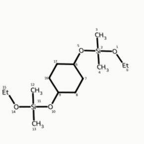 CCO[Si](C)(C)OC1CCC(O[Si](C)(C)OCC)CC1